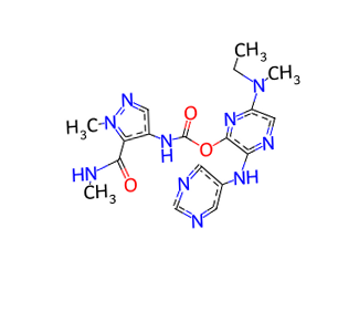 CCN(C)c1cnc(Nc2cncnc2)c(OC(=O)Nc2cnn(C)c2C(=O)NC)n1